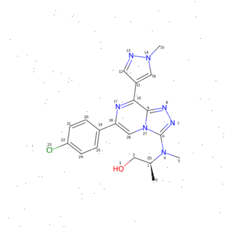 C[C@@H](CO)N(C)c1nnc2c(-c3cnn(C)c3)nc(-c3ccc(Cl)cc3)cn12